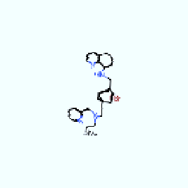 Br.COCCN(Cc1ccc(CNC2CCCc3cccnc32)cc1)Cc1ccccn1